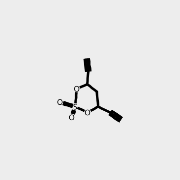 C#CC1CC(C#C)OS(=O)(=O)O1